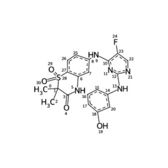 CC1(C)C(=O)Nc2cc(Nc3nc(Nc4cccc(O)c4)ncc3F)ccc2S1(=O)=O